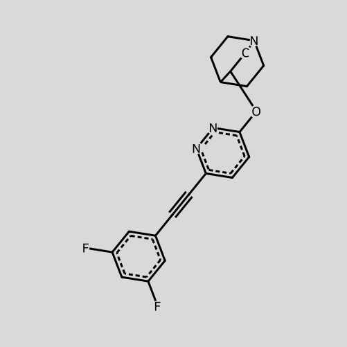 Fc1cc(F)cc(C#Cc2ccc(OC3CN4CCC3CC4)nn2)c1